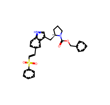 O=C(OCc1ccccc1)N1CCC[C@@H]1Cc1c[nH]c2ccc(C=CS(=O)(=O)c3ccccc3)cc12